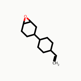 C=CC1CCC(C2CCC3OC3C2)CC1